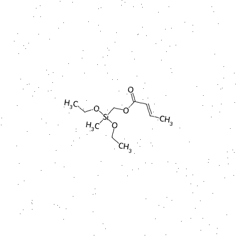 CC=CC(=O)OC[Si](C)(OCC)OCC